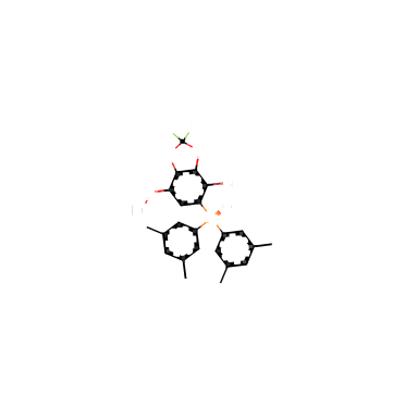 CCOc1cc(P(=O)(c2cc(C)cc(C)c2)c2cc(C)cc(C)c2)c(Br)c2c1OC(F)(F)O2